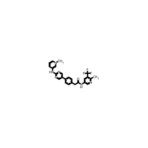 Cc1ncc(NC(=O)Cc2ccc(-c3cnc(NC4=CN(C)C=C=C4)nc3)cc2)cc1C(F)(F)F